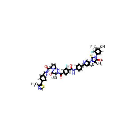 Cc1ncsc1-c1ccc(CNC(=O)C2CCCN2C(=O)[C@@H](NC(=O)c2ccc(C(=O)Nc3ccc(-c4ccc(N5C(=S)N(c6ccc(C#N)c(C(F)(F)F)c6F)C(=O)C5(C)C)cn4)cc3)c(F)c2)C(C)(C)C)cc1